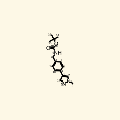 Cn1cc(-c2ccc(CNC(=O)OC(C)(C)C)cc2)cn1